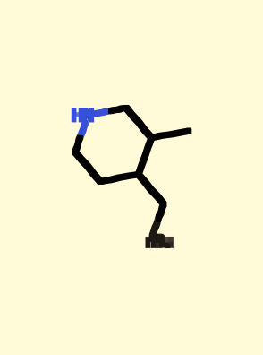 CCCCCC1CCNCC1C